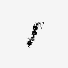 CCOC(=O)C(C)(C)Oc1ccc(-c2ccc(CCNC(=O)c3ccc(Cl)cc3)cc2)cc1